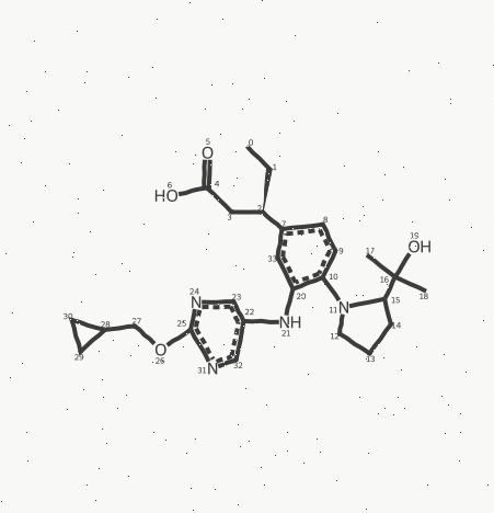 CC[C@H](CC(=O)O)c1ccc(N2CCCC2C(C)(C)O)c(Nc2cnc(OCC3CC3)nc2)c1